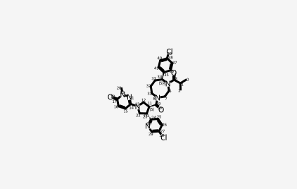 CC(C)C(=O)N1CCN(C(=O)[C@@H]2CN(c3ccc(=O)n(C)n3)C[C@H]2c2ccc(Cl)cn2)CCC[C@H]1c1ccc(Cl)cc1